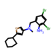 CN(Cc1cc(Br)cc(Br)c1N)c1csc(C2CCCCC2)c1